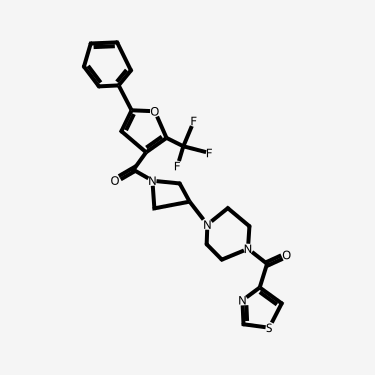 O=C(c1cscn1)N1CCN(C2CN(C(=O)c3cc(-c4ccccc4)oc3C(F)(F)F)C2)CC1